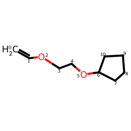 C=COCCOC1CCCC1